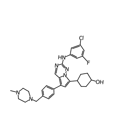 CN1CCN(Cc2ccc(-c3cc(C4CCC(O)CC4)n4nc(Nc5cc(F)cc(Cl)c5)ncc34)cc2)CC1